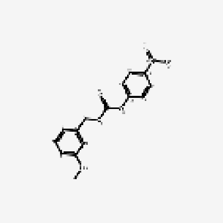 COc1cccc(COC(=O)Oc2ccc([N+](=O)[O-])cc2)c1